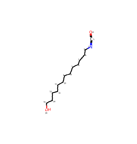 O=C=NCCCCCCCCCCCCCO